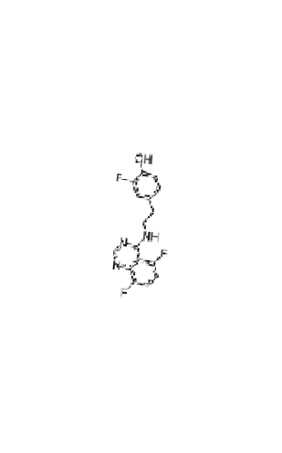 Oc1ccc(CCNc2ncnc3c(F)ccc(F)c23)cc1F